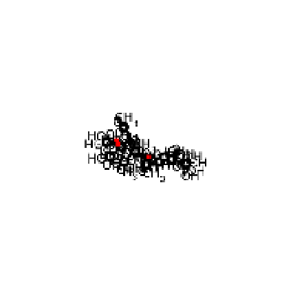 COc1ccc(/C=C/C(=O)O[C@@H]2[C@H](O[C@@H]3O[C@@H](C)[C@H](O)[C@@H](O)[C@H]3O)[C@@H](O[C@@H]3O[C@@H](C)[C@H](O[C@@H]4OC[C@@H](O[C@@H]5O[C@H](CO)[C@H](O)[C@H](O)[C@H]5O)[C@H](O)[C@H]4O)[C@@H](O)[C@H]3O)[C@H](OC(=O)[C@]34CCC(C)(C)C[C@H]3C3=CC[C@@H]5[C@@]6(C)C[C@H](O)[C@H](O[C@@H]7O[C@H](CO)[C@@H](O)[C@H](O)[C@H]7O)[C@@](C)(C(=O)O)[C@@H]6CC[C@@]5(C)[C@]3(CO)CC4)O[C@@H]2C)cc1